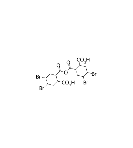 O=C(O)C1CC(Br)C(Br)CC1C(=O)OC(=O)C1CC(Br)C(Br)CC1C(=O)O